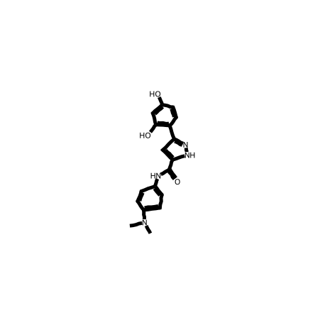 CN(C)c1ccc(NC(=O)c2cc(-c3ccc(O)cc3O)n[nH]2)cc1